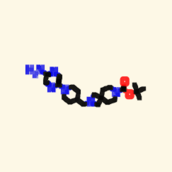 CC(C)(C)OC(=O)N1CCC2(CC1)CN(CC1CCN(c3cnc(N)cn3)CC1)C2